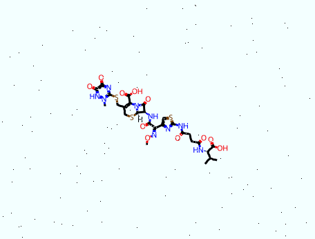 CO/N=C(\C(=O)N[C@@H]1C(=O)N2C(C(=O)O)=C(CSc3nc(=O)c(=O)[nH]n3C)CS[C@H]12)c1csc(NC(=O)CCC(=O)N[C@H](C(=O)O)C(C)C)n1